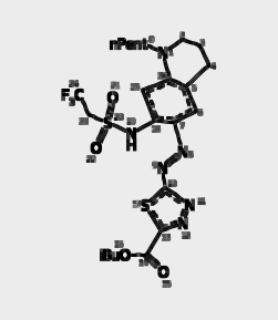 CCCCCN1CCCc2cc(N=Nc3nnc(C(=O)OCC(C)C)s3)c(NS(=O)(=O)CC(F)(F)F)cc21